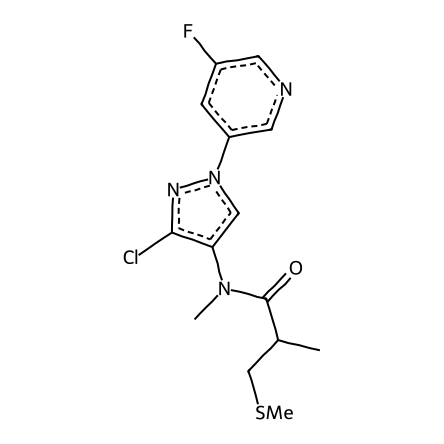 CSCC(C)C(=O)N(C)c1cn(-c2cncc(F)c2)nc1Cl